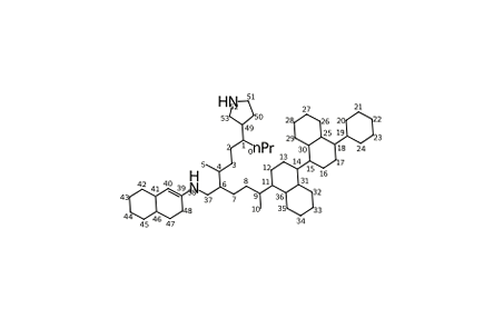 CCCC(CCC(C)C(CCC(C)C1CCC(C2CCC(C3CCCCC3)C3CCCCC32)C2CCCCC12)CNC1=CC2CCCCC2CC1)C1CCNC1